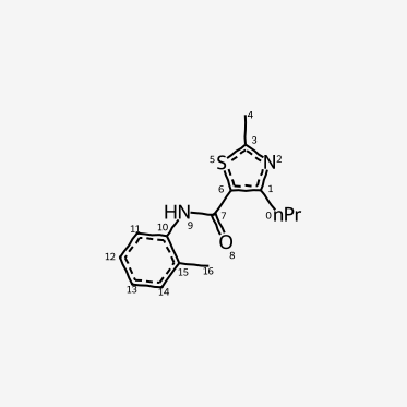 CCCc1nc(C)sc1C(=O)Nc1ccccc1C